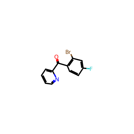 O=C(c1ccccn1)c1ccc(F)cc1Br